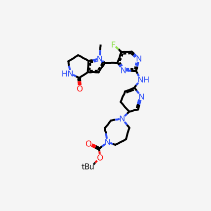 Cn1c(-c2nc(NC3=CCC(N4CCCN(C(=O)OC(C)(C)C)CC4)C=N3)ncc2F)cc2c1CCNC2=O